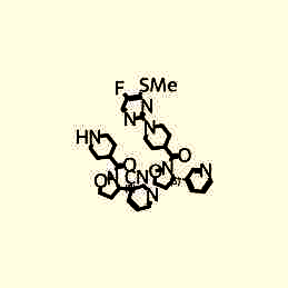 CSc1nc(N2CCC(C(=O)N3OCC[C@H]3c3cccnc3)CC2)ncc1F.N#C[C@@]1(C2CCON2C(=O)C2CCNCC2)C=CC=NC1